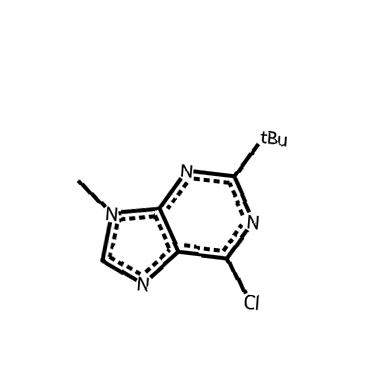 Cn1cnc2c(Cl)nc(C(C)(C)C)nc21